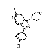 Fc1cc2c(C3CCOCC3)nn(-c3ccc(Cl)cc3)c2cn1